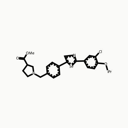 COC(=O)C1CCN(Cc2ccc(-c3cnc(-c4ccc(OC(C)C)c(Cl)c4)[se]3)cc2)C1